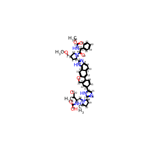 COC[C@H]1C[C@@H](c2nc3ccc4cc5c(cc4c3[nH]2)OCc2cc(-c3cnc([C@@H]4CC[C@H](C)N4C[C@@H](NC(=O)O)C(C)C=O)[nH]3)ccc2-5)N(C(=O)[C@H](NC(=O)OC)c2ccccc2)C1